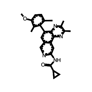 COc1ccc(C)c(-c2cc3cnc(NC(=O)C4CC4)cc3c3nc(C)c(C)nc23)c1C